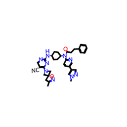 CC1=NOC2(C1)CN(c1nc(N[C@H]3CC[C@H](N(C(=O)CCc4ccccc4)c4ccc(-c5cnn(C)c5)cn4)CC3)ncc1C#N)C2